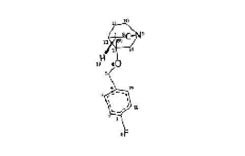 Fc1ccc(CO[C@H]2CN3CCC2CC3)cc1